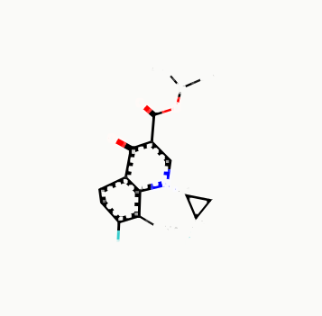 COc1c(F)ccc2c(=O)c(C(=O)OB(OC(C)=O)OC(C)=O)cn([C@@H]3C[C@@H]3F)c12